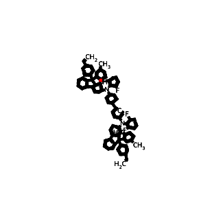 C=Cc1ccc(C2(c3cc(C)ccc3C)c3ccccc3-c3ccc(N(c4ccc(-c5ccc(N(c6ccc7c(c6)C(c6ccc(C=C)cc6)(c6cc(C)ccc6C)c6ccccc6-7)c6c(F)cccc6F)cc5)cc4)c4c(F)cccc4F)cc32)cc1